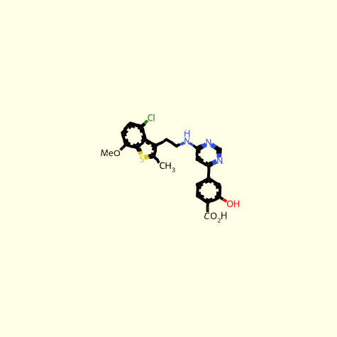 COc1ccc(Cl)c2c(CCNc3cc(-c4ccc(C(=O)O)c(O)c4)ncn3)c(C)sc12